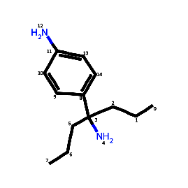 CCCC(N)(CCC)c1ccc(N)cc1